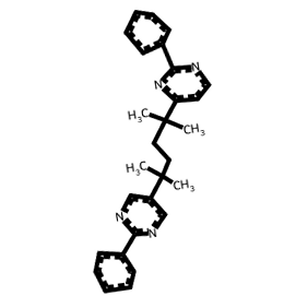 CC(C)(CCC(C)(C)c1ccnc(-c2ccccc2)n1)c1cnc(-c2ccccc2)nc1